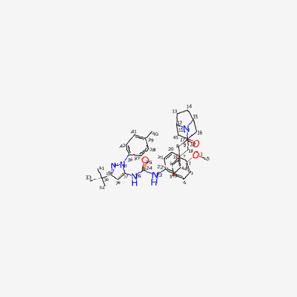 COc1ccccc1CC(=O)N1C2CCC1CC(Cc1ccc(NC(=O)Nc3cc(C(C)(C)C)nn3-c3ccc(C)cc3)cc1)C2